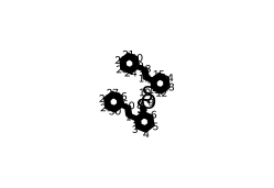 C(=Cc1ccccc1SOSc1ccccc1C=Cc1ccccc1)c1ccccc1